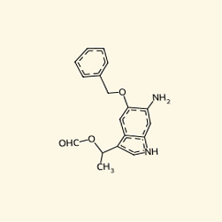 CC(OC=O)c1c[nH]c2cc(N)c(OCc3ccccc3)cc12